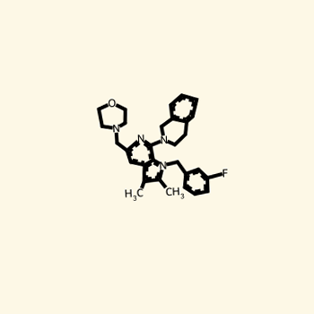 Cc1c(C)n(Cc2cccc(F)c2)c2c(N3CCc4ccccc4C3)nc(CN3CCOCC3)cc12